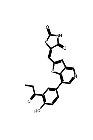 CCC(=O)c1cc(-c2cncc3cc(C=C4SC(=O)NC4=O)oc23)ccc1O